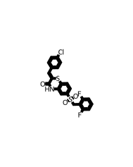 O=C1Nc2cc(S(=O)(=O)Cc3c(F)cccc3F)ccc2S/C1=C\c1ccc(Cl)cc1